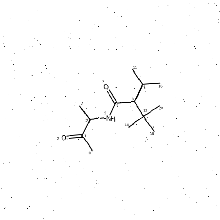 CC(=O)C(C)NC(=O)C(C(C)C)C(C)(C)C